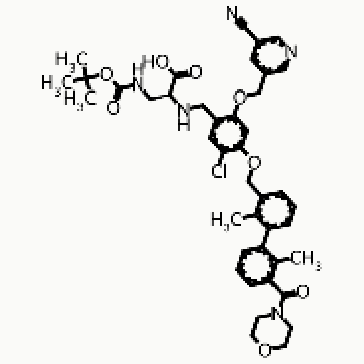 Cc1c(COc2cc(OCc3cncc(C#N)c3)c(CN[C@@H](CNC(=O)OC(C)(C)C)C(=O)O)cc2Cl)cccc1-c1cccc(C(=O)N2CCOCC2)c1C